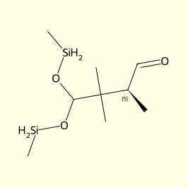 C[SiH2]OC(O[SiH2]C)C(C)(C)[C@H](C)C=O